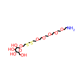 NCCOCCOCCOCCOCCOCCSCSCCO[C@@H]1OC(CO)[C@@H](O)C(O)C1O